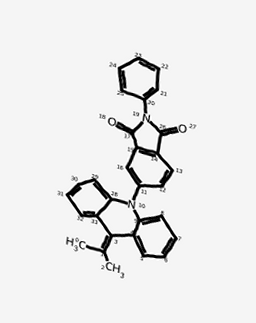 CC(C)=C1c2ccccc2N(c2ccc3c(c2)C(=O)N(c2ccccc2)C3=O)c2ccccc21